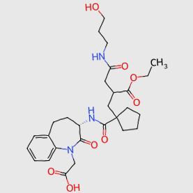 CCOC(=O)C(CC(=O)NCCCO)CC1(C(=O)N[C@H]2CCc3ccccc3N(CC(=O)O)C2=O)CCCC1